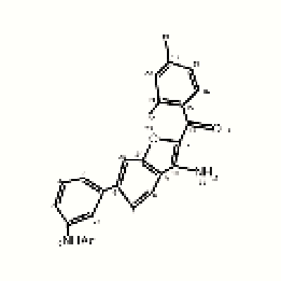 CC(=O)Nc1cccc(-c2ccc3c(N)c(C(=O)c4ccc(C)cc4C)oc3c2)c1